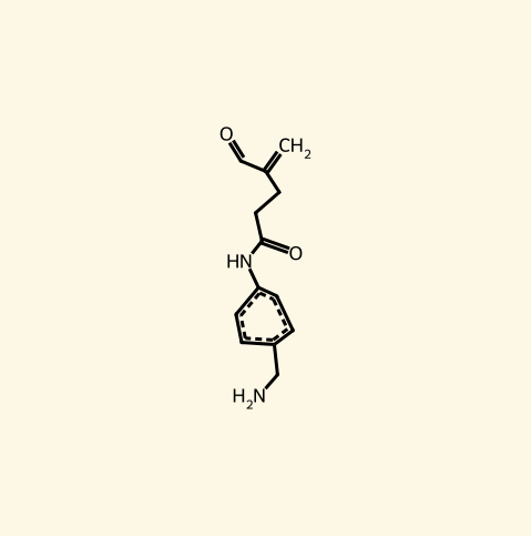 C=C(C=O)CCC(=O)Nc1ccc(CN)cc1